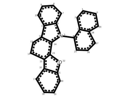 c1ccc2c(-n3c4ccccc4c4ccc5c6ccccc6oc5c43)cccc2c1